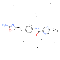 Cc1cnc(C(=O)Nc2ccc(CC[C@H]3COC(N)=N3)cc2)cn1